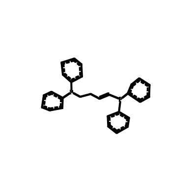 C(=CP(c1ccccc1)c1ccccc1)CCP(c1ccccc1)c1ccccc1